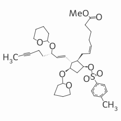 CC#CCC[C@@H](/C=C/[C@@H]1[C@@H](C/C=C\CCCC(=O)OC)[C@@H](OS(=O)(=O)c2ccc(C)cc2)C[C@H]1OC1CCCCO1)OC1CCCCO1